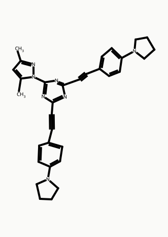 Cc1cc(C)n(-c2nc(C#Cc3ccc(N4CCCC4)cc3)nc(C#Cc3ccc(N4CCCC4)cc3)n2)n1